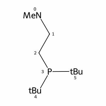 CNCCP(C(C)(C)C)C(C)(C)C